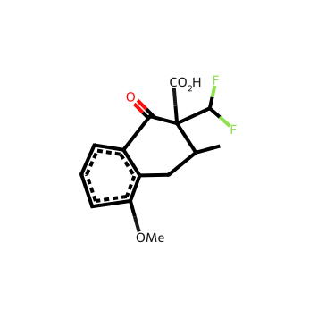 COc1cccc2c1CC(C)C(C(=O)O)(C(F)F)C2=O